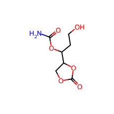 NC(=O)OC(CCO)C1COC(=O)O1